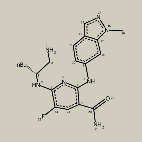 CCCC[C@H](CN)Nc1nc(Nc2ccc3cnn(C)c3c2)c(C(N)=O)cc1F